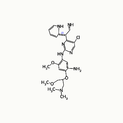 COCC(CN(C)C)Oc1cc(OC)c(Nc2ncc(Cl)c(/C(C=N)=C3\C=CC=CN3)n2)cc1N